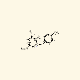 CSC(=N)/N=C(/Nc1ccc(C)cc1)C(=N)C(N)=O